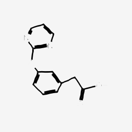 O=C(O)Cc1cccc(Oc2ncccn2)c1